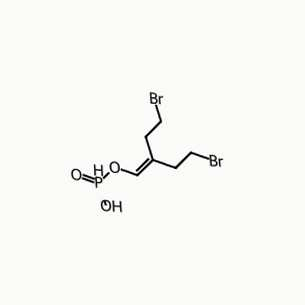 O=[PH](O)OC=C(CCBr)CCBr